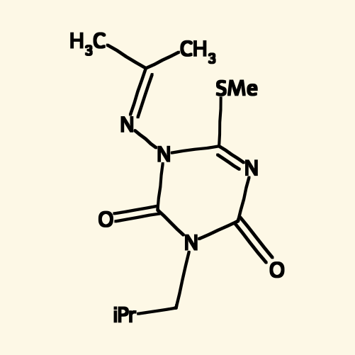 CSc1nc(=O)n(CC(C)C)c(=O)n1N=C(C)C